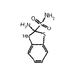 NC1(S(N)(=O)=O)Nc2ccccc2S1